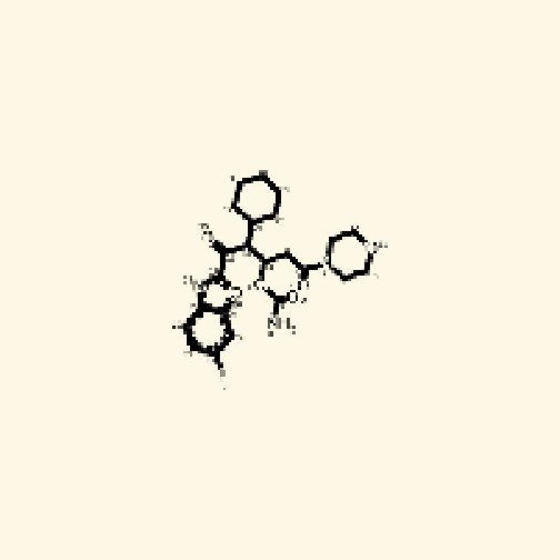 NC(=O)OC(CC(=O)N1CCOCC1)C(C(=O)c1nc2ccc(F)cc2o1)C1CCCCC1